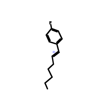 CCCCC/C=C/c1ccc(F)cc1